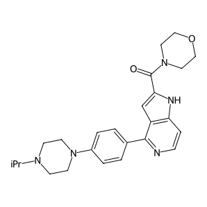 CC(C)N1CCN(c2ccc(-c3nccc4[nH]c(C(=O)N5CCOCC5)cc34)cc2)CC1